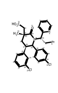 CC(C)C[C@@H](c1ccccn1)N1C(=O)[C@@](C)(CC(=O)O)C[C@H](c2cccc(Cl)c2)C1c1ccc(Cl)cc1